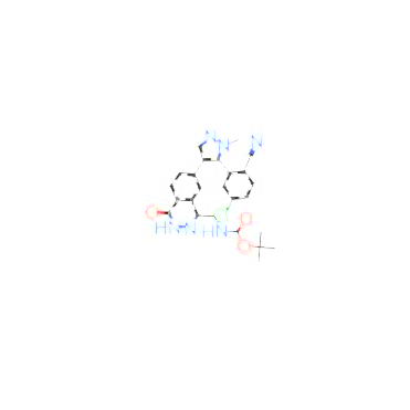 Cn1ncc(-c2ccc3c(=O)[nH]nc(CNC(=O)OC(C)(C)C)c3c2)c1-c1cc(Cl)ccc1C#N